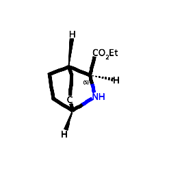 CCOC(=O)[C@H]1N[C@H]2CC[C@@H]1CC2